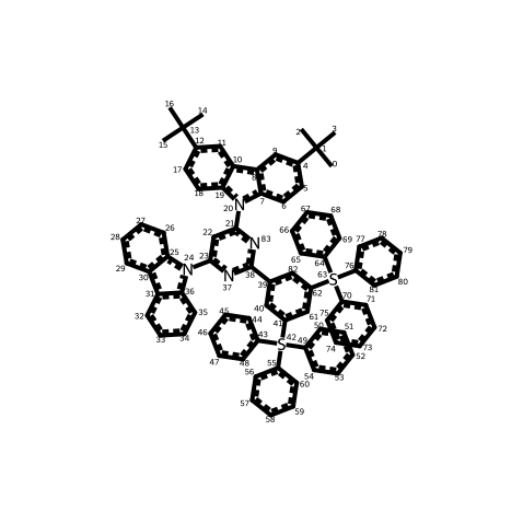 CC(C)(C)c1ccc2c(c1)c1cc(C(C)(C)C)ccc1n2-c1cc(-n2c3ccccc3c3ccccc32)nc(-c2cc(S(c3ccccc3)(c3ccccc3)c3ccccc3)cc(S(c3ccccc3)(c3ccccc3)c3ccccc3)c2)n1